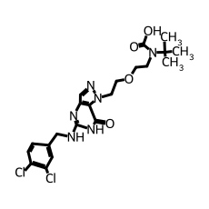 CC(C)(C)N(CCOCCn1ncc2nc(NCc3ccc(Cl)c(Cl)c3)[nH]c(=O)c21)C(=O)O